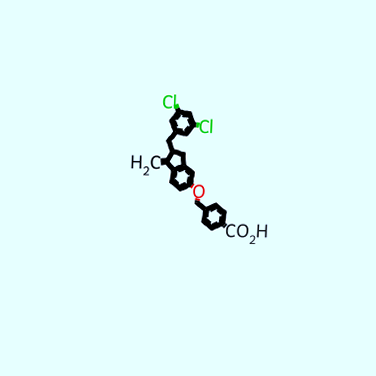 C=C1c2ccc(OCc3ccc(C(=O)O)cc3)cc2CC1Cc1cc(Cl)cc(Cl)c1